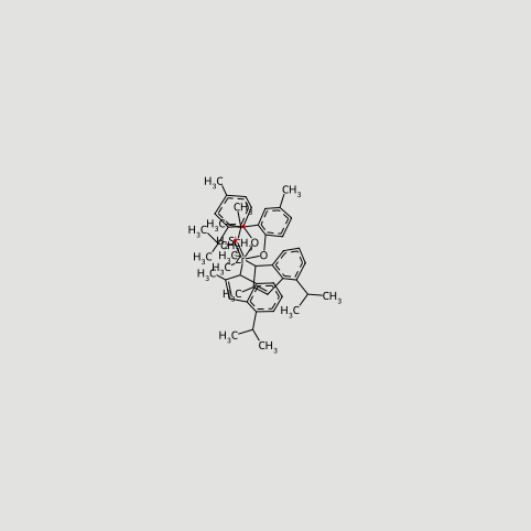 CC1=Cc2c(C(C)C)cccc2[CH]1[Zr]([CH3])([CH3])(=[SiH2])([O]c1ccc(C)cc1C(C)(C)C)([O]c1ccc(C)cc1C(C)(C)C)[CH]1C(C)=Cc2c(C(C)C)cccc21